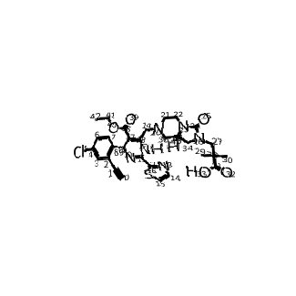 C#Cc1cc(Cl)ccc1[C@@H]1N=C(c2nccs2)NC(CN2CCN3C(=O)N(CC(C)(C)C(=O)O)C[C@@H]3C2)=C1C(=O)OCC